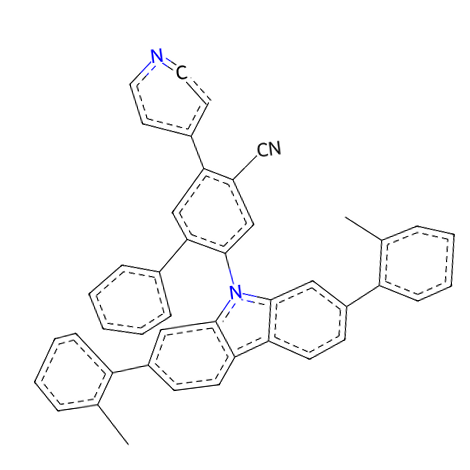 Cc1ccccc1-c1ccc2c3ccc(-c4ccccc4C)cc3n(-c3cc(C#N)c(-c4ccncc4)cc3-c3ccccc3)c2c1